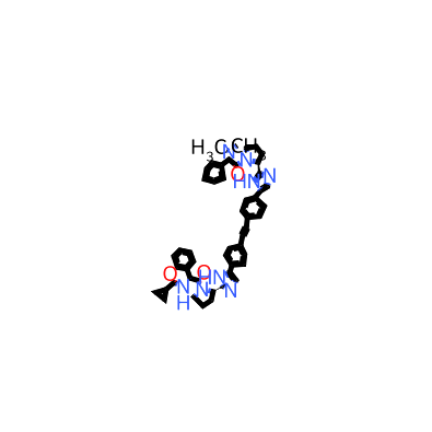 CN(C)[C@@H](C(=O)N1CCC[C@H]1c1ncc(-c2ccc(C#Cc3ccc(-c4cnc([C@@H]5CCCN5C(=O)[C@H](NC(=O)C5CC5)c5ccccc5)[nH]4)cc3)cc2)[nH]1)c1ccccc1